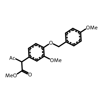 COC(=O)C(C(C)=O)c1ccc(OCc2ccc(OC)cc2)c(OC)c1